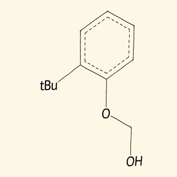 CC(C)(C)c1ccccc1OCO